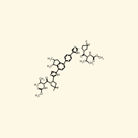 COC(=O)N[C@H](C(=O)N1CC(F)(F)CC1c1ncc(-c2ccc(-c3ccc(-c4cnc([C@@H]5CC(F)(F)CN5C(=O)[C@@H](NC(=O)OC)C(C)C)[nH]4)cc3)c3c2C(C)C(C)C3)[nH]1)C(C)C